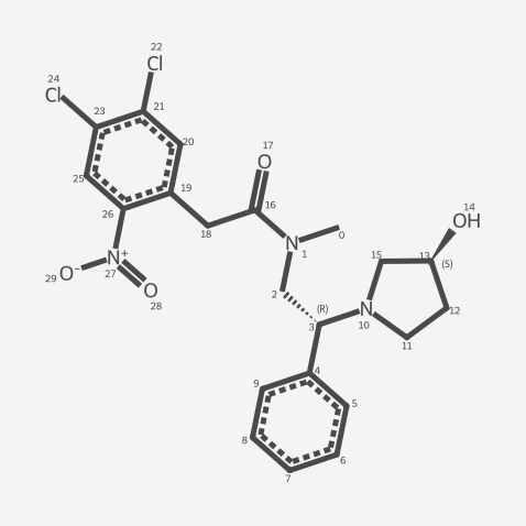 CN(C[C@@H](c1ccccc1)N1CC[C@H](O)C1)C(=O)Cc1cc(Cl)c(Cl)cc1[N+](=O)[O-]